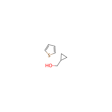 OCC1CC1.c1ccsc1